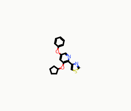 [c]1nc(-c2ncc(Oc3ccccc3)cc2OC2CCCC2)cs1